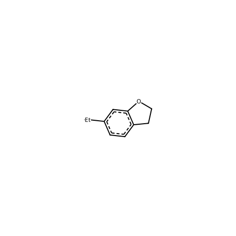 C[CH]c1ccc2c(c1)OCC2